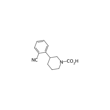 N#Cc1ccccc1C1CCCN(C(=O)O)C1